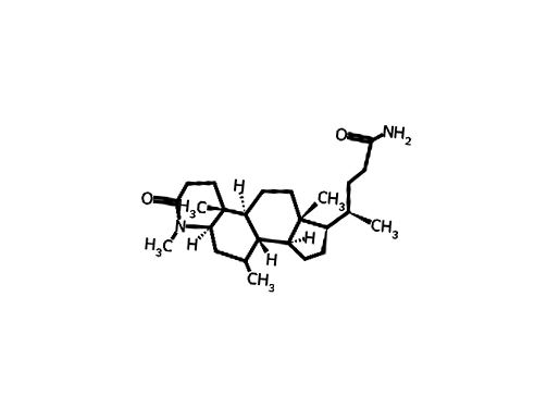 CC1C[C@H]2N(C)C(=O)CC[C@]2(C)[C@H]2CC[C@]3(C)[C@@H]([C@H](C)CCC(N)=O)CC[C@H]3[C@H]12